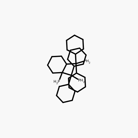 PC(C1CCCCC1)(C1CCCCC1)C1CCCCC1(P)C(P)(C1CCCCC1)C1CCCCC1